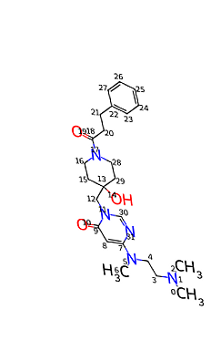 CN(C)CCN(C)c1cc(=O)n(CC2(O)CCN(C(=O)CCc3ccccc3)CC2)cn1